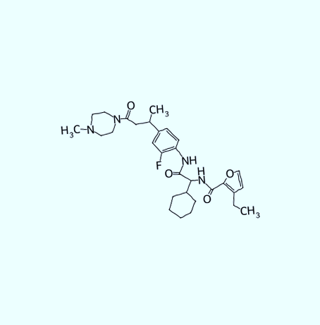 CCc1ccoc1C(=O)NC(C(=O)Nc1ccc(C(C)CC(=O)N2CCN(C)CC2)cc1F)C1CCCCC1